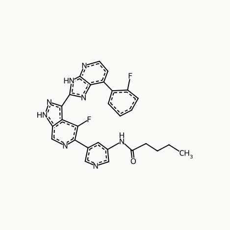 CCCCC(=O)Nc1cncc(-c2ncc3[nH]nc(-c4nc5c(-c6ccccc6F)ccnc5[nH]4)c3c2F)c1